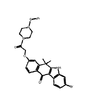 CC(C)SN1CCN(C(=O)COc2ccc3c(c2)C(C)(C)c2[nH]c4cc(Br)ccc4c2C3=O)CC1